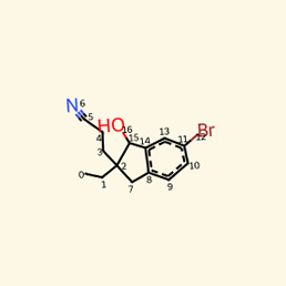 CCC1(CCC#N)Cc2ccc(Br)cc2C1O